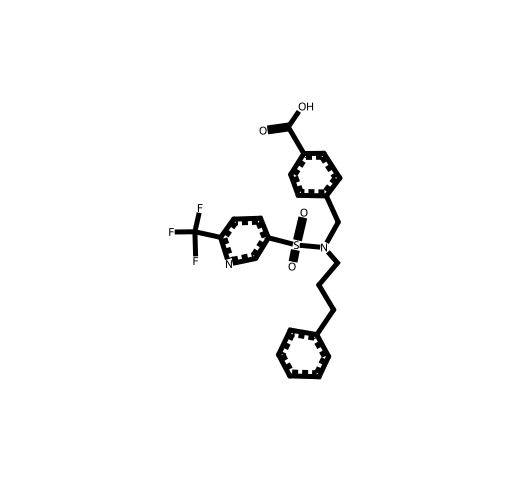 O=C(O)c1ccc(CN(CCCc2ccccc2)S(=O)(=O)c2ccc(C(F)(F)F)nc2)cc1